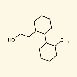 CC1CCCCC1C1CCCCC1CCO